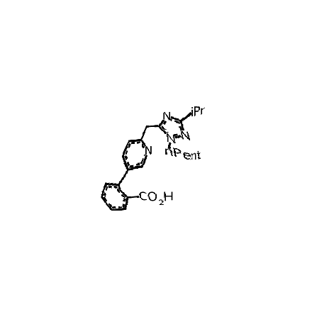 CCCCCn1nc(C(C)C)nc1Cc1ccc(-c2ccccc2C(=O)O)cn1